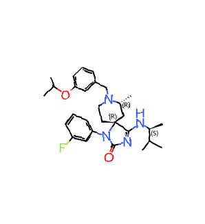 CC(C)Oc1cccc(CN2CC[C@@]3(C[C@H]2C)C(N[C@@H](C)C(C)C)=NC(=O)N3c2cccc(F)c2)c1